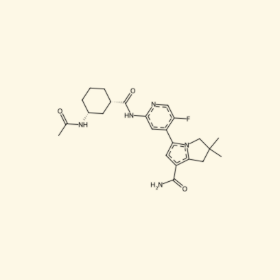 CC(=O)N[C@@H]1CCC[C@H](C(=O)Nc2cc(-c3cc(C(N)=O)c4n3CC(C)(C)C4)c(F)cn2)C1